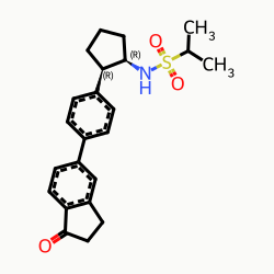 CC(C)S(=O)(=O)N[C@@H]1CCC[C@@H]1c1ccc(-c2ccc3c(c2)CCC3=O)cc1